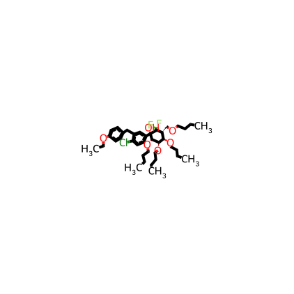 CCCCOC[C@@H]1[C@@H](OCCCC)[C@H](OCCCC)[C@@H](OCCCC)[C@](O)(c2ccc(Cl)c(Cc3ccc(OCC)cc3)c2)C1(F)F